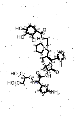 Nc1nc(/C(=N/O[C@@H](CC(=O)O)C(=O)O)C(=O)N[C@@H]2C(=O)N3C(c4nnn[nH]4)=C(C[N+]4(CCNC(=O)c5ccc(O)c(O)c5Cl)CCCC4)CS[C@H]23)cs1